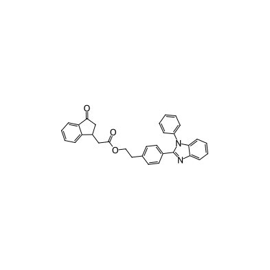 O=C(CC1CC(=O)c2ccccc21)OCCc1ccc(-c2nc3ccccc3n2-c2ccccc2)cc1